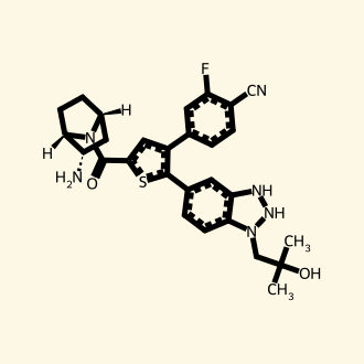 CC(C)(O)CN1NNc2cc(-c3sc(C(=O)N4[C@@H]5CC[C@H]4[C@@H](N)C5)cc3-c3ccc(C#N)c(F)c3)ccc21